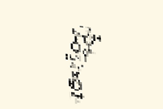 C[C@@H](Oc1ccccc1NC(=O)N1CCN(c2ncc(C(F)(F)F)cn2)C[C@@H]1C)c1c[nH]c(=O)c(C(F)(F)F)c1